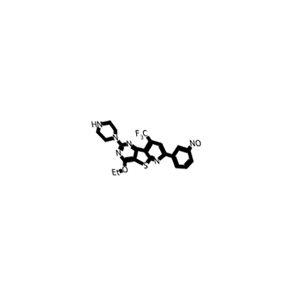 CCOc1nc(N2CCNCC2)nc2c1sc1nc(-c3cccc(N=O)c3)cc(C(F)(F)F)c12